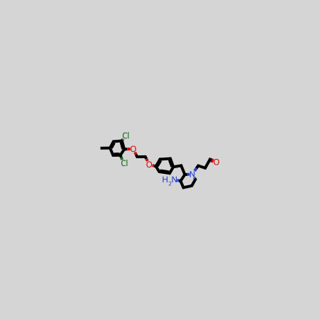 Cc1cc(Cl)c(OCCOc2ccc(CC3C(N)CCCN3CCC=O)cc2)c(Cl)c1